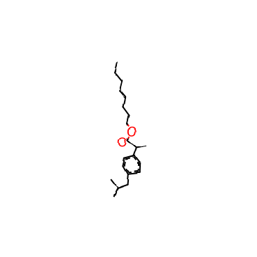 CCCCCCCCOC(=O)C(C)c1ccc(CC(C)C)cc1